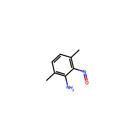 Cc1ccc(C)c(N=O)c1N